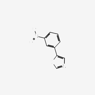 O=[N+]([O-])c1cccc(-c2cncs2)c1